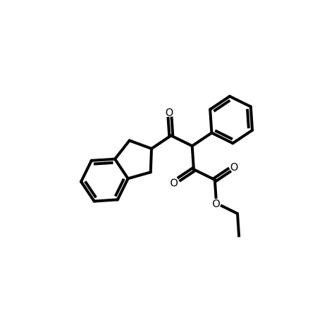 CCOC(=O)C(=O)C(C(=O)C1Cc2ccccc2C1)c1ccccc1